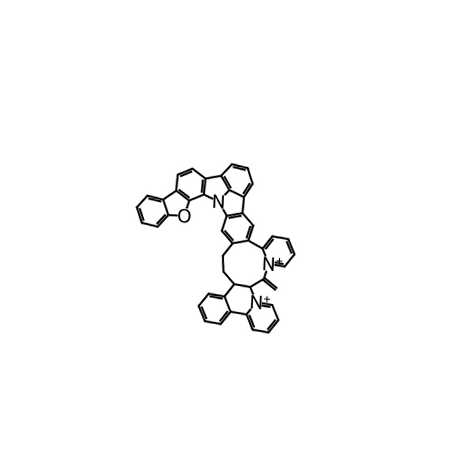 C=C1C2C(CCc3cc4c(cc3-c3cccc[n+]31)c1cccc3c5ccc6c7ccccc7oc6c5n4c13)c1ccccc1-c1cccc[n+]12